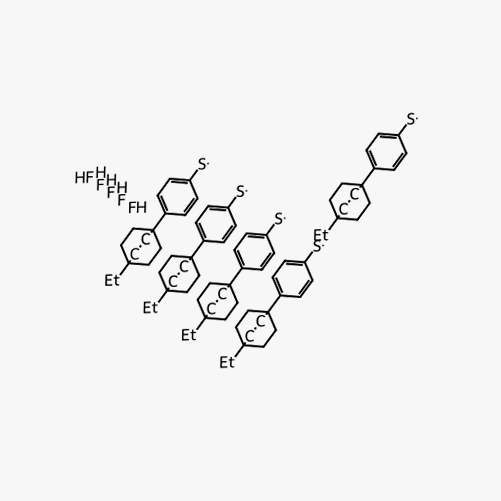 CCC12CCC(c3ccc([S])cc3)(CC1)CC2.CCC12CCC(c3ccc([S])cc3)(CC1)CC2.CCC12CCC(c3ccc([S])cc3)(CC1)CC2.CCC12CCC(c3ccc([S])cc3)(CC1)CC2.CCC12CCC(c3ccc([S])cc3)(CC1)CC2.F.F.F.F.F